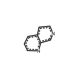 [c]1ccc2ccncc2n1